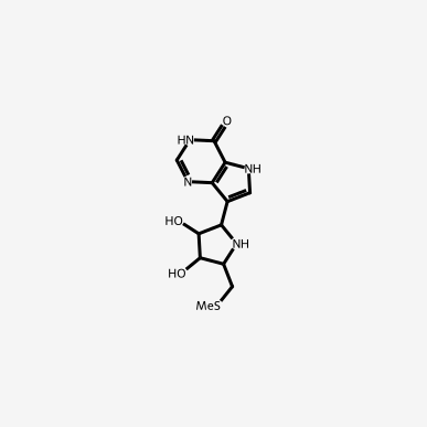 CSCC1NC(c2c[nH]c3c(=O)[nH]cnc23)C(O)C1O